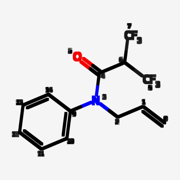 C=CCN(C(=O)C(C(F)(F)F)C(F)(F)F)c1ccccc1